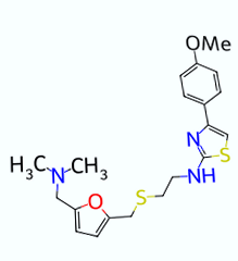 COc1ccc(-c2csc(NCCSCc3ccc(CN(C)C)o3)n2)cc1